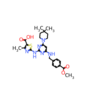 COC(=O)c1ccc(CNc2cc(N3CCC(C)(C)CC3)nc(Nc3nc(C)c(C(=O)O)s3)n2)cc1